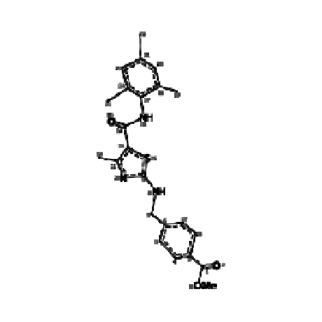 COC(=O)c1ccc(CNc2nc(C)c(C(=O)Nc3c(C)cc(C)cc3C)s2)cc1